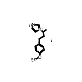 CCOc1ccc(CCC(C)[n+]2cc[nH]c2)cc1.[I-]